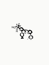 C[C@@H]1CN(c2cccc(NC(=O)c3ccc([C@](O)(CO)C(F)(F)F)nc3N3CCC4(CC3)CC4)n2)CCO1